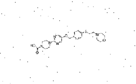 O=C(O)N1CCN(c2ncc(OCc3ccc(SCCN4CCOCC4)cc3)cn2)CC1